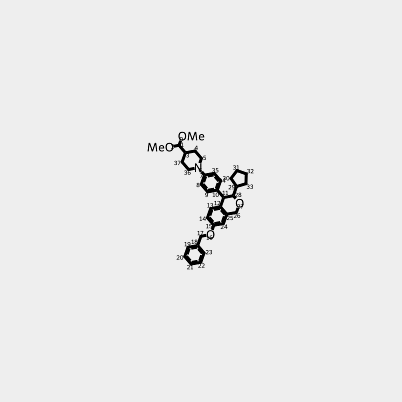 COC(OC)C1CCN(c2ccc(C3c4ccc(OCc5ccccc5)cc4COC3C3CCCC3)cc2)CC1